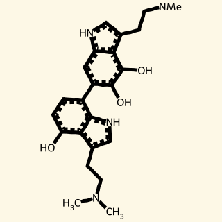 CNCCc1c[nH]c2cc(-c3ccc(O)c4c(CCN(C)C)c[nH]c34)c(O)c(O)c12